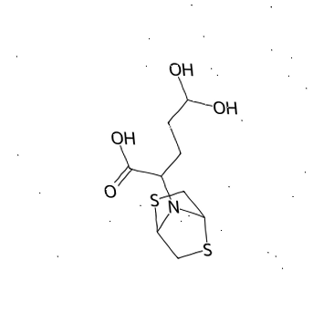 O=C(O)C(CCC(O)O)N1C2CSC1CS2